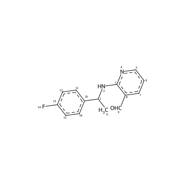 CC(Nc1ncccc1C=O)c1ccc(F)cc1